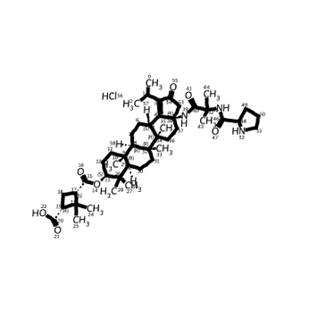 CC(C)C1=C2[C@H]3CC[C@@H]4[C@@]5(C)CC[C@H](OC(=O)[C@H]6C[C@@H](C(=O)O)C6(C)C)C(C)(C)[C@@H]5CC[C@@]4(C)[C@]3(C)CC[C@@]2(NC(=O)C(C)(C)NC(=O)C2CCCN2)CC1=O.Cl